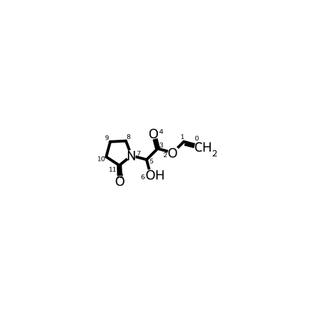 C=COC(=O)C(O)N1CCCC1=O